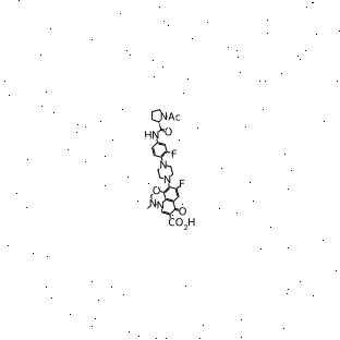 CC(=O)N1CCC[C@@H]1C(=O)Nc1ccc(N2CCN(c3c(F)cc4c(=O)c(C(=O)O)cn5c4c3OCN5C)CC2)c(F)c1